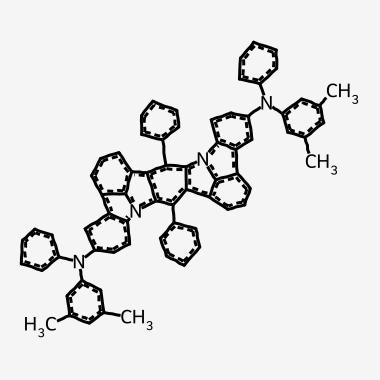 Cc1cc(C)cc(N(c2ccccc2)c2ccc3c(c2)c2cccc4c5c(-c6ccccc6)c6c(c(-c7ccccc7)c5n3c24)c2cccc3c4cc(N(c5ccccc5)c5cc(C)cc(C)c5)ccc4n6c32)c1